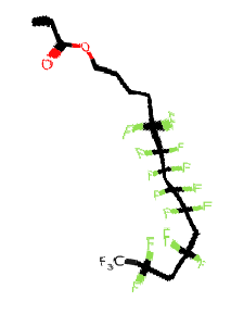 C=CC(=O)OCCCCC(F)(F)C(F)(F)C(F)(F)C(F)(F)C(F)(F)CC(F)(F)CC(F)(F)C(F)(F)F